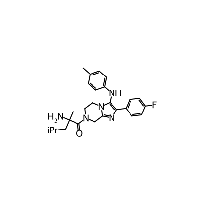 Cc1ccc(Nc2c(-c3ccc(F)cc3)nc3n2CCN(C(=O)C(C)(N)CC(C)C)C3)cc1